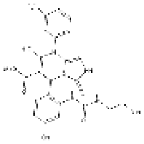 COC(=O)C1=C(C)N(c2cccc(C(F)(F)F)c2)c2n[nH]c(=O)n2C1c1ccc(C#N)cc1NC(=O)NCCO